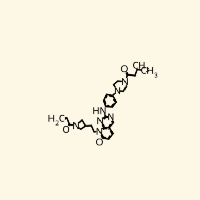 C=CC(=O)N1CC(CCn2c(=O)ccc3cnc(Nc4ccc(N5CCN(C(=O)CC(C)C)CC5)cc4)nc32)C1